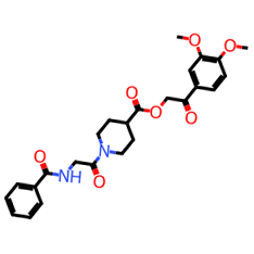 COc1ccc(C(=O)COC(=O)C2CCN(C(=O)CNC(=O)c3ccccc3)CC2)cc1OC